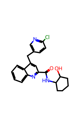 O=C(NC1CCCCC1O)c1cc(Cc2ccc(Cl)nc2)c2ccccc2n1